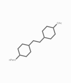 CCCCCC1CCC(CCC2CCC(OC(C)=O)CC2)CC1